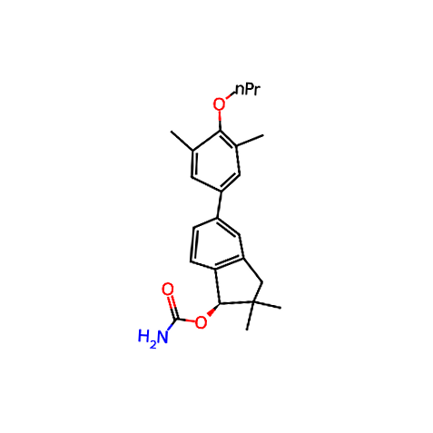 CCCOc1c(C)cc(-c2ccc3c(c2)CC(C)(C)[C@H]3OC(N)=O)cc1C